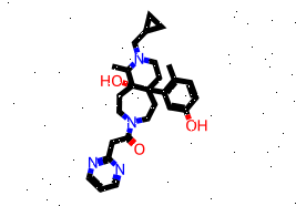 Cc1ccc(O)cc1C12CCN(C(=O)Cc3ncccn3)CCC1(O)C(C)N(CC1CC1)CC2